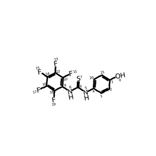 Oc1ccc(NC(=S)Nc2c(F)c(F)c(F)c(F)c2F)cc1